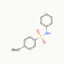 COc1ccc(S(=O)(=O)Nc2cc[c]cc2)cc1